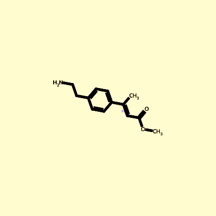 COC(=O)/C=C(\C)c1ccc(CCN)cc1